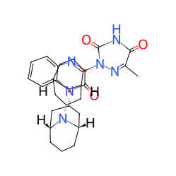 Cc1nn(-c2nc3ccccc3n([C@H]3C[C@H]4CCC[C@@H](C3)N4[C@H]3C[C@@H]4CCC[C@@H](C4)C3)c2=O)c(=O)[nH]c1=O